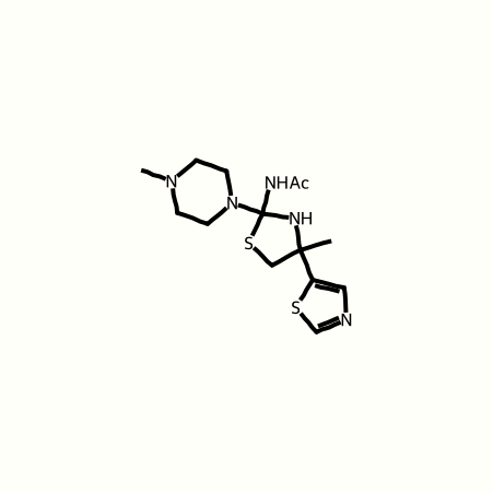 CC(=O)NC1(N2CCN(C)CC2)NC(C)(c2cncs2)CS1